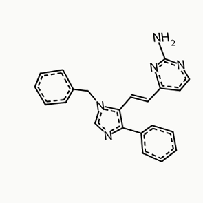 Nc1nccc(C=Cc2c(-c3ccccc3)ncn2Cc2ccccc2)n1